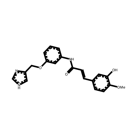 COc1ccc(C=CC(=O)Nc2cccc(OCc3c[nH]cn3)c2)cc1O